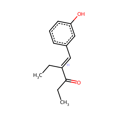 CCC(=O)/C(=C/c1cccc(O)c1)CC